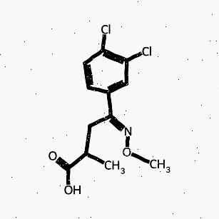 CON=C(CC(C)C(=O)O)c1ccc(Cl)c(Cl)c1